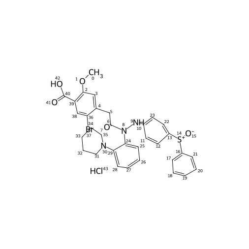 COc1cc(CC(=O)N(Nc2ccc([S+]([O-])c3ccccc3)cc2)c2ccccc2N2CCCCC2)c(Br)cc1C(=O)O.Cl